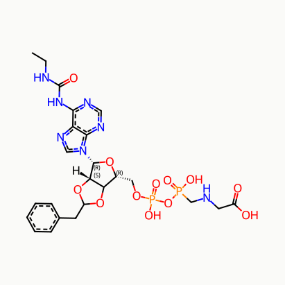 CCNC(=O)Nc1ncnc2c1ncn2[C@@H]1O[C@H](COP(=O)(O)OP(=O)(O)CNCC(=O)O)C2OC(Cc3ccccc3)O[C@@H]21